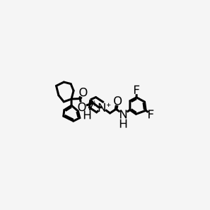 O=C(C[N+]12CCC(CC1)[C@@H](OC(=O)C1(c3ccccc3)CCCCCC1)C2)Nc1cc(F)cc(F)c1